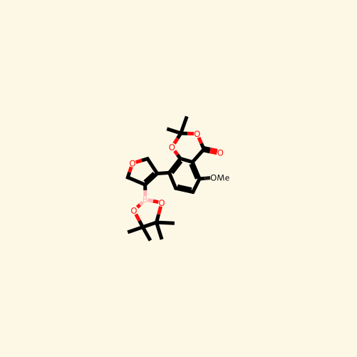 COc1ccc(C2=C(B3OC(C)(C)C(C)(C)O3)COC2)c2c1C(=O)OC(C)(C)O2